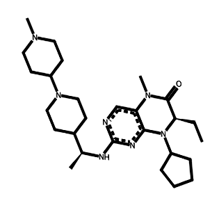 CC[C@@H]1C(=O)N(C)c2cnc(N[C@@H](C)C3CCN(C4CCN(C)CC4)CC3)nc2N1C1CCCC1